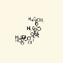 COC(=Cc1c(Cl)cc(C(=O)Nc2nc(-c3cccc(COCC(C)C)c3OC)cs2)cc1Cl)C(=O)O